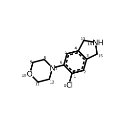 Clc1cc2c(cc1N1CCOCC1)CNC2